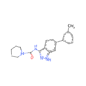 Cc1cccc(-c2ccc3c(NC(=O)N4CCCCC4)n[nH]c3c2)c1